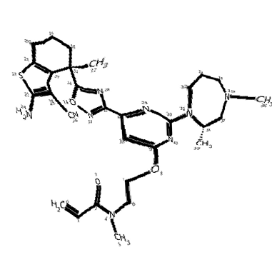 C=CC(=O)N(C)CCOc1cc(-c2noc([C@@]3(C)CCCc4sc(N)c(C#N)c43)n2)nc(N2CCCN(C)C[C@@H]2C)n1